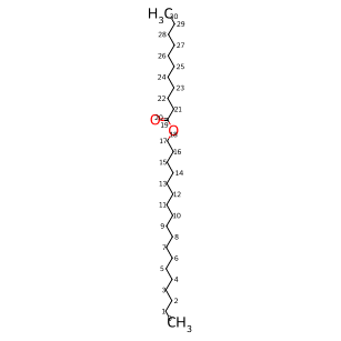 CCCCCCCCCCCCCCCCCCOC(=O)CCCCCCCCCC